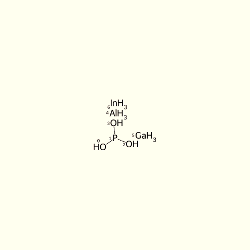 OP(O)O.[AlH3].[GaH3].[InH3]